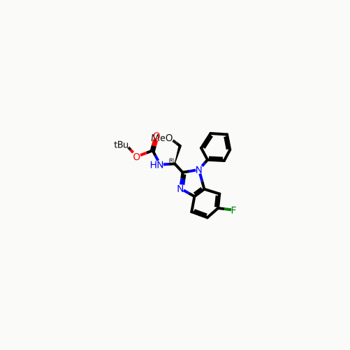 COC[C@H](NC(=O)OC(C)(C)C)c1nc2ccc(F)cc2n1-c1ccccc1